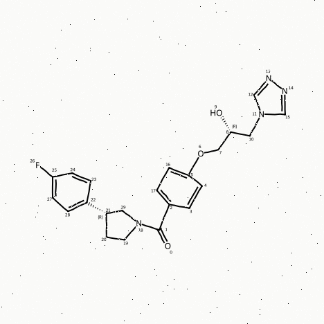 O=C(c1ccc(OC[C@H](O)Cn2cnnc2)cc1)N1CC[C@H](c2ccc(F)cc2)C1